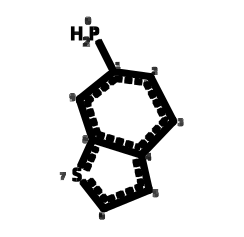 Pc1ccc2ccsc2c1